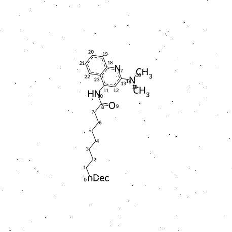 CCCCCCCCCCCCCCCCCC(=O)Nc1cc(N(C)C)nc2ccccc12